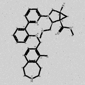 COC[C@H]1N(c2cccc(-c3ccccc3OCc3ccc4c(c3C)CCNCC4)n2)C[C@@H]2C[C@@]21C(=O)OC